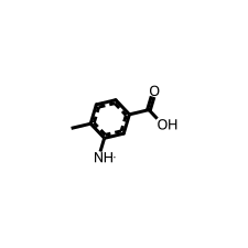 Cc1ccc(C(=O)O)cc1[NH]